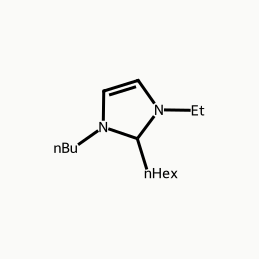 CCCCCCC1N(CC)C=CN1CCCC